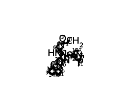 C=CC(=O)N1CC[C@@H](Nc2nc(OC[C@@]34CCCN3C[C@H](F)C4)nc3c2CCN(c2cccc4cccc(Cl)c24)C3)C1